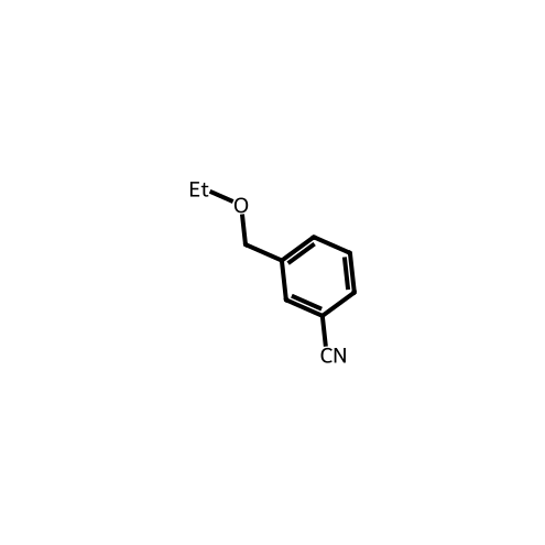 [CH2]COCc1cccc(C#N)c1